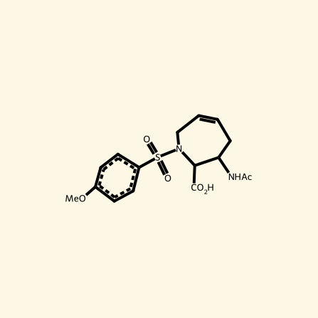 COc1ccc(S(=O)(=O)N2CC=CCC(NC(C)=O)C2C(=O)O)cc1